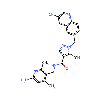 Cc1cc(N)nc(C)c1CNC(=O)c1cnn(Cc2ccc3ncc(Cl)cc3c2)c1C#N